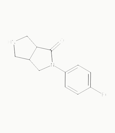 CCc1ccc(N2CC3CNCC3C2=O)cc1